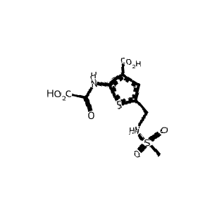 CS(=O)(=O)NCc1cc(C(=O)O)c(NC(=O)C(=O)O)s1